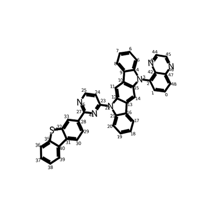 c1cc(-n2c3ccccc3c3cc4c(cc32)c2ccccc2n4-c2ccnc(-c3ccc4c(c3)sc3ccccc34)n2)c2nccnc2c1